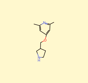 Cc1cc(OCC2CCNC2)cc(C)n1